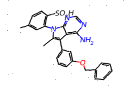 Cc1ccc(S(=O)(=O)O)c(-n2c(C)c(-c3cccc(OCc4ccccc4)c3)c3c(N)ncnc32)c1